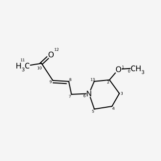 COC1CCCN(C/C=C/C(C)=O)C1